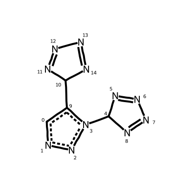 c1nnn(C2N=NN=N2)c1C1N=NN=N1